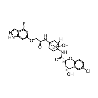 O=C(COc1cc(F)c2cn[nH]c2c1)NC12CCC(NC(=O)[C@H]3C[C@@H](O)c4cc(Cl)ccc4O3)(CC1)[C@@H](O)C2